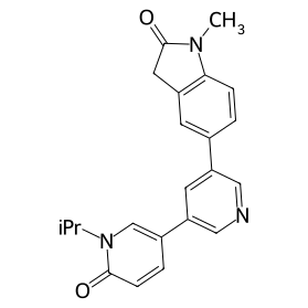 CC(C)n1cc(-c2cncc(-c3ccc4c(c3)CC(=O)N4C)c2)ccc1=O